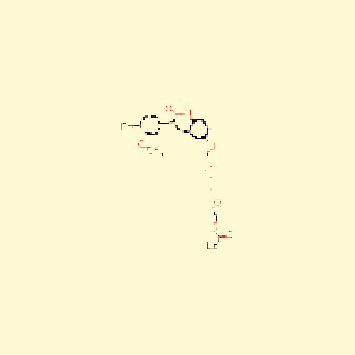 CCC(=O)OCCOCCOCCOc1cc2cc(-c3ccc(CC)c(OC(F)(F)F)c3)c(=O)oc2cn1